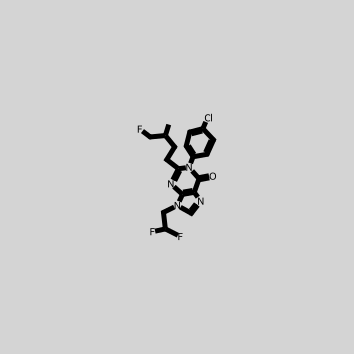 CC(CF)CCc1nc2c(ncn2CC(F)F)c(=O)n1-c1ccc(Cl)cc1